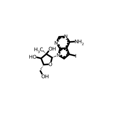 C[C@@]1(O)C(O)[C@@H](CO)O[C@H]1n1cc(I)c2c(N)ncnc21